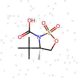 CC(C)(C)[C@]1(C)COS(=O)(=O)N1C(=O)O